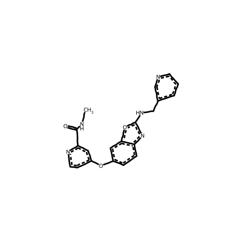 CNC(=O)c1cc(Oc2ccc3nc(NCc4cccnc4)oc3c2)ccn1